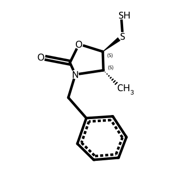 C[C@H]1[C@H](SS)OC(=O)N1Cc1ccccc1